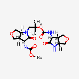 CC(C)(C)OC(=O)N[C@H]1C(=O)N(CC(C)(C)OC(=O)N[C@@H]2C(=O)N[C@H]3COC[C@H]32)[C@@H]2COC[C@@H]21